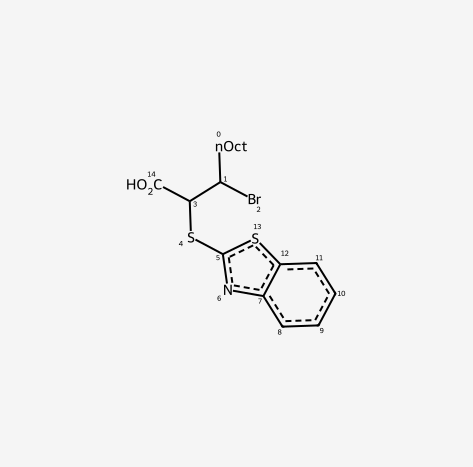 CCCCCCCCC(Br)C(Sc1nc2ccccc2s1)C(=O)O